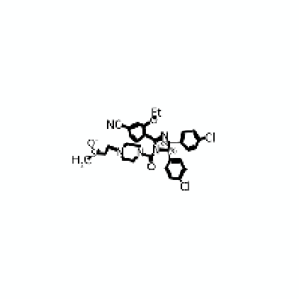 CCOc1cc(C#N)ccc1C1=N[C@@H](c2ccc(Cl)cc2)[C@@H](c2ccc(Cl)cc2)N1C(=O)N1CCN(CC[S+](C)[O-])CC1